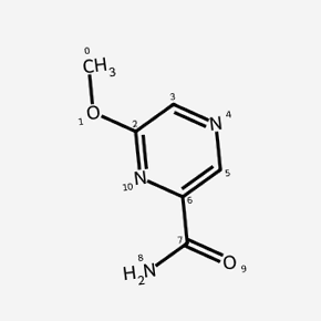 COc1cncc(C(N)=O)n1